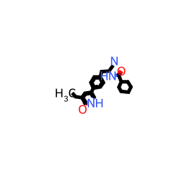 CCc1cc(-c2ccc(CC(C#N)NC(=O)C3CCCCC3)cc2)c[nH]c1=O